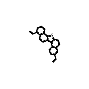 C=Cc1ccc2c(ccc3sc4c5cccc(C=C)c5ccc4c32)c1